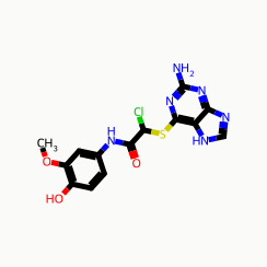 COc1cc(NC(=O)C(Cl)Sc2nc(N)nc3nc[nH]c23)ccc1O